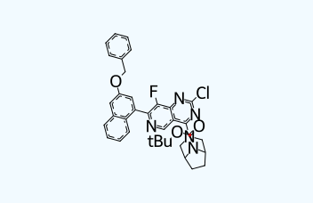 CC(C)(C)OC(=O)N1C2CCC1CN(c1nc(Cl)nc3c(F)c(-c4cc(OCc5ccccc5)cc5ccccc45)ncc13)C2